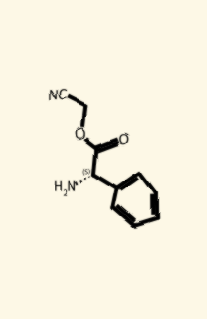 N#CCOC(=O)[C@@H](N)c1ccccc1